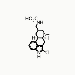 CN1CC(CNC(=O)O)C[C@@H]2c3cccc4[nH]c(Cl)c(c34)C[C@H]21